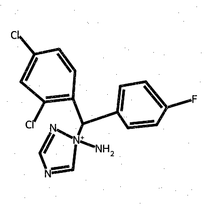 N[N+]1(C(c2ccc(F)cc2)c2ccc(Cl)cc2Cl)C=NC=N1